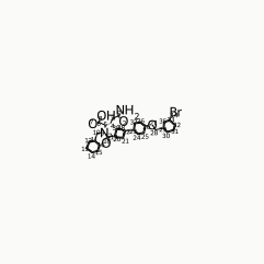 NC(=O)CC[C@@H](C(=O)O)N(Cc1ccccc1)C(=O)c1ccc(-c2ccc(OCc3cccc(Br)c3)cc2)cc1